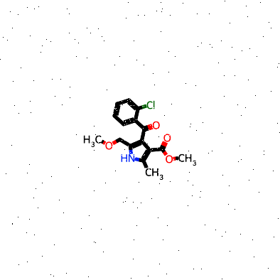 COCc1[nH]c(C)c(C(=O)OC)c1C(=O)c1ccccc1Cl